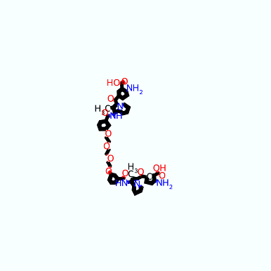 Cc1c(NC(=O)c2cccc(OCCOCCOCCOc3cccc(C(=O)Nc4c(C)c(C(=O)c5ccc(N)c(C(=O)O)c5)n5ccccc45)c3)c2)c2ccccn2c1C(=O)c1ccc(N)c(C(=O)O)c1